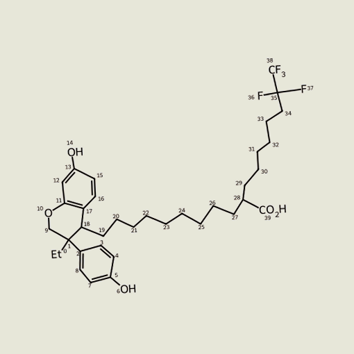 CCC1(c2ccc(O)cc2)COc2cc(O)ccc2C1CCCCCCCCCC(CCCCCCC(F)(F)C(F)(F)F)C(=O)O